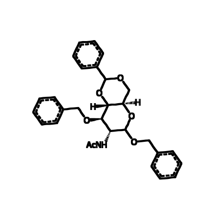 CC(=O)N[C@H]1C(OCc2ccccc2)O[C@@H]2COC(c3ccccc3)O[C@H]2[C@@H]1OCc1ccccc1